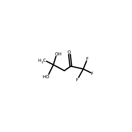 CC(O)(O)CC(=O)C(F)(F)F